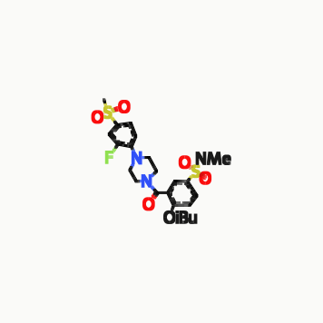 CNS(=O)(=O)c1ccc(OCC(C)C)c(C(=O)N2CCN(c3ccc(S(C)(=O)=O)cc3F)CC2)c1